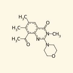 CC(=O)c1c(C)c(C)cc2c(=O)n(C)c(N3CCOCC3)nc12